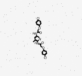 Cc1cc(NC(=O)COc2ccc(Cl)cc2)cnc1NC(=O)COc1ccc(Cl)cc1